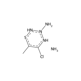 Cc1s[nH]n(N)[nH]c1Cl.N